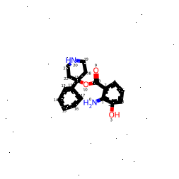 Nc1c(O)cccc1C(=O)OC1(c2ccccc2)CCNCC1